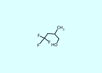 CC(CO)CC(F)(F)F